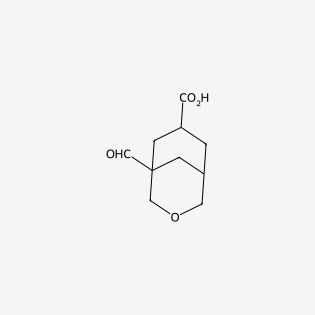 O=CC12COCC(CC(C(=O)O)C1)C2